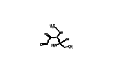 CNC(C(=O)C=O)C(N)(O)CO